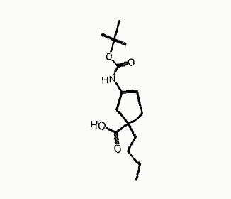 CCCCC1(C(=O)O)CCC(NC(=O)OC(C)(C)C)C1